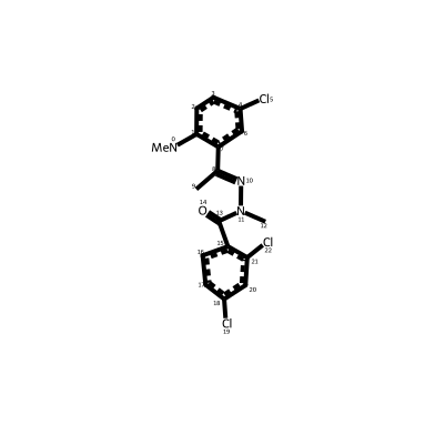 CNc1ccc(Cl)cc1/C(C)=N/N(C)C(=O)c1ccc(Cl)cc1Cl